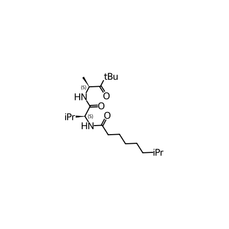 CC(C)CCCCCC(=O)N[C@H](C(=O)N[C@@H](C)C(=O)C(C)(C)C)C(C)C